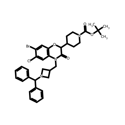 CC(C)(C)OC(=O)N1CCC(C2Oc3cc(Br)c(Cl)cc3N(CC3CN(C(c4ccccc4)c4ccccc4)C3)C2=O)CC1